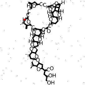 C=C1C2C[C@@H]3O[C@H]4C[C@H]5O[C@]6(CC7O[C@]8(C[C@H](C)C9OC(C(=C=O)C[C@@H](O)CO)CC9O8)C[C@H](C)C7O6)C[C@H]5O[C@H]4[C@H](C)[C@H]3OC(=O)C[C@H]3CC[C@@H]4O[C@@H]5C6[C@@H](O[C@@]7(CCC8CC(=C)[C@H](CC[C@@H](C[C@H]1C)O2)O8)C[C@H]1OC6(O7)C51)[C@H]4O3